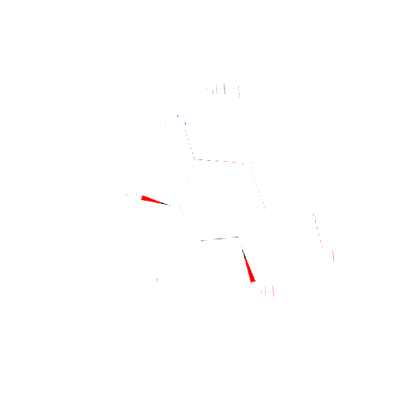 CCCCCCCNC1O[C@H](CO)[C@@H](O)[C@H](O)[C@H]1O